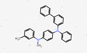 Cc1cccc(N(C)c2ccc(N(c3ccccc3)c3cccc(-c4ccccc4)c3)cc2)c1